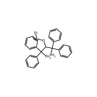 CCNOC(C(P)(c1ccccc1)c1ccccc1)C(P)(c1ccccc1)c1ccccc1